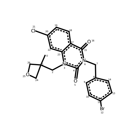 CC1(Cn2c(=O)n(Cc3ccc(Br)cc3)c(=O)c3ccc(Cl)cc32)COC1